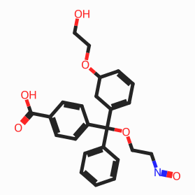 O=NCCOC(C1=CC=CC(OCCO)C1)(c1ccccc1)c1ccc(C(=O)O)cc1